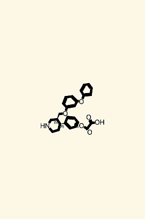 O=C(O)C(=O)O.c1ccc(Oc2cccc(OC[C@@H]3CNCC[C@H]3c3ccccc3)c2)cc1